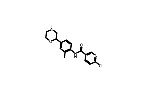 Cc1cc(C2CNCCO2)ccc1NC(=O)c1ccc(Cl)nc1